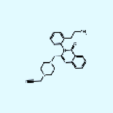 CCCc1ccccc1-n1c(CN2CCN(CC#N)CC2)nc2ccccc2c1=O